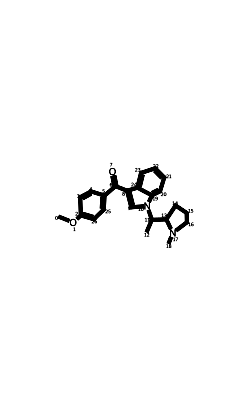 COc1ccc(C(=O)c2cn(C(C)C3CCCN3C)c3ccccc23)cc1